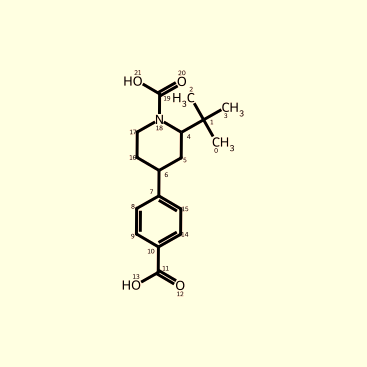 CC(C)(C)C1CC(c2ccc(C(=O)O)cc2)CCN1C(=O)O